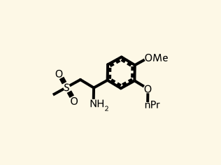 CCCOc1cc(C(N)CS(C)(=O)=O)ccc1OC